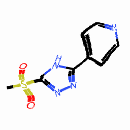 CS(=O)(=O)c1nnc(-c2ccncc2)[nH]1